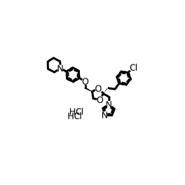 Cl.Cl.Clc1ccc(CC[C@]2(Cn3ccnc3)OC[C@@H](COc3ccc(N4CCCCC4)cc3)O2)cc1